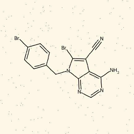 N#Cc1c(Br)n(Cc2ccc(Br)cc2)c2ncnc(N)c12